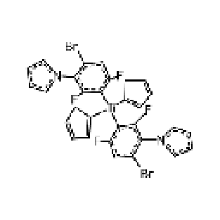 Fc1cc(Br)c(-n2cccc2)c(F)[c]1[Ti]([C]1=CC=CC1)([C]1=CC=CC1)[c]1c(F)cc(Br)c(-n2cccc2)c1F